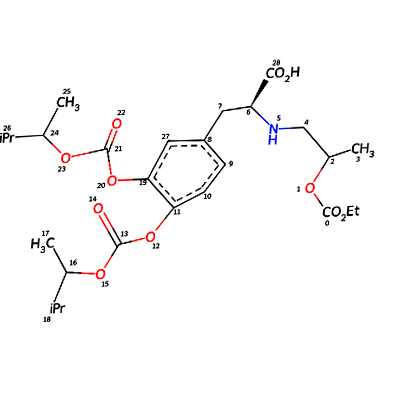 CCOC(=O)OC(C)CN[C@@H](Cc1ccc(OC(=O)OC(C)C(C)C)c(OC(=O)OC(C)C(C)C)c1)C(=O)O